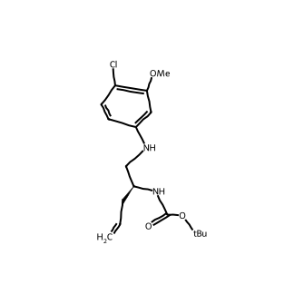 C=CC[C@@H](CNc1ccc(Cl)c(OC)c1)NC(=O)OC(C)(C)C